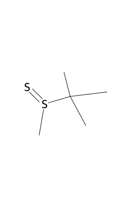 CS(=S)C(C)(C)C